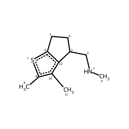 CNCC1CCc2sc(C)c(C)c21